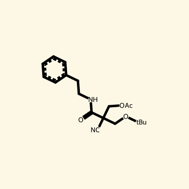 CC(=O)OCC(C#N)(COC(C)(C)C)C(=O)NCCc1ccccc1